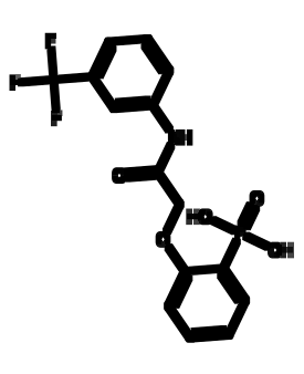 O=C(COc1ccccc1P(=O)(O)O)Nc1cccc(C(F)(F)F)c1